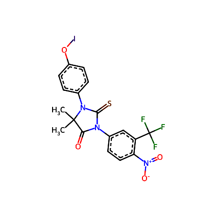 CC1(C)C(=O)N(c2ccc([N+](=O)[O-])c(C(F)(F)F)c2)C(=S)N1c1ccc(OI)cc1